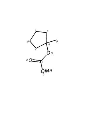 COC(=O)OC1(C)CCCC1